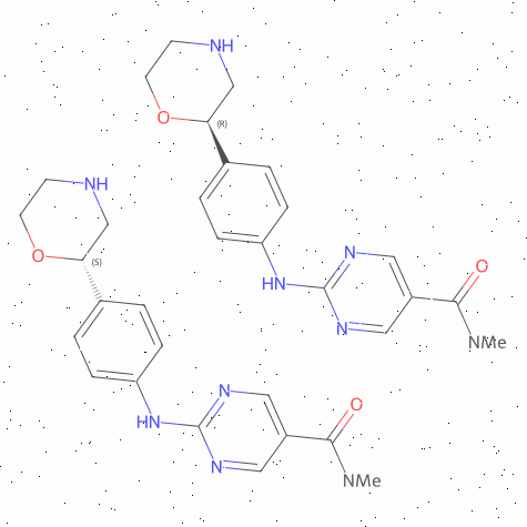 CNC(=O)c1cnc(Nc2ccc([C@@H]3CNCCO3)cc2)nc1.CNC(=O)c1cnc(Nc2ccc([C@H]3CNCCO3)cc2)nc1